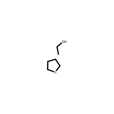 C1CCOC1.CCO